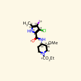 CCOC(=O)N1CC[C@H](NC(=O)c2[nH]c(C)c(I)c2Cl)[C@H](OC)C1